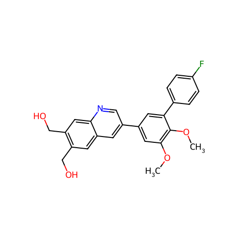 COc1cc(-c2cnc3cc(CO)c(CO)cc3c2)cc(-c2ccc(F)cc2)c1OC